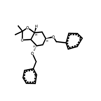 CC1(C)OC2[C@@H](OCc3ccccc3)C[C@H](OCc3ccccc3)C[C@H]2O1